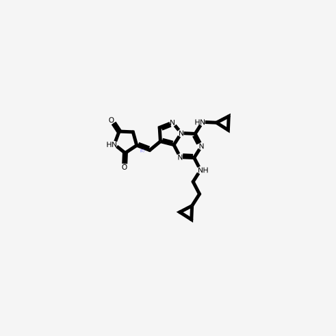 O=C1C/C(=C\c2cnn3c(NC4CC4)nc(NCCC4CC4)nc23)C(=O)N1